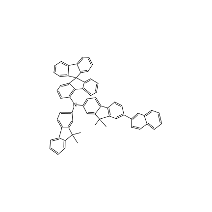 CC1(C)c2ccccc2-c2ccc(N(c3ccc4c(c3)C(C)(C)c3cc(-c5ccc6ccccc6c5)ccc3-4)c3cccc4c3-c3ccccc3C43c4ccccc4-c4ccccc43)cc21